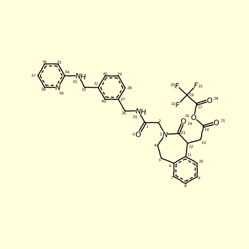 O=C(CN1CCc2ccccc2C(CC(=O)OC(=O)C(F)(F)F)C1=O)NCc1cccc(CNc2ccccn2)c1